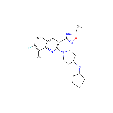 Cc1nc(-c2cc3ccc(F)c(C)c3nc2N2CCC(NC3CCCCC3)CC2)no1